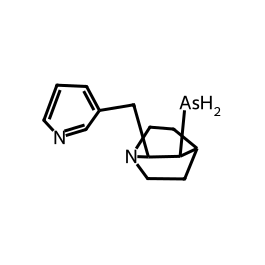 [AsH2]C1C2CCN(CC2)C1Cc1cccnc1